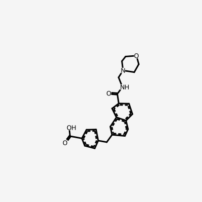 O=C(O)c1ccc(Cc2ccc3ccc(C(=O)NCN4CCOCC4)cc3c2)cc1